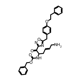 NCC=CCC(NC(=O)OCc1ccccc1)C(=O)c1noc(Cc2ccc(OCCc3ccccc3)cc2)n1